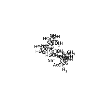 CC(=O)OC(C)C(C)C(=O)OCC12C3CC(C)(C)[C@H](O[C@@H]1C[C@]1(C)C3=CCC3C4(C)CCC(O[C@@H]5O[C@H](C(=O)O)[C@@H](O[C@H]6O[C@H](CO)[C@@H](O)[C@H](O)[C@H]6O)[C@H](O)[C@H]5O[C@@H]5OC[C@@H](O)[C@H](O)[C@H]5O)[C@](C)(CO)C4CCC31C)C2O.[Na+]